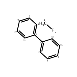 CF.c1ccc(-c2ccccc2)cc1